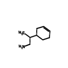 CC(CN)C1CC=CCC1